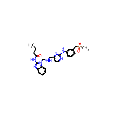 CCCC(=O)Nc1nc2ccccc2n1CNCc1ccnc(Nc2cccc(CS(C)(=O)=O)c2)n1